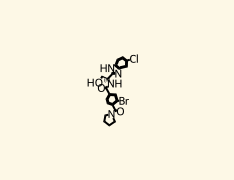 O=C(N[C@@H](CO)c1nc2cc(Cl)ccc2[nH]1)c1ccc(C(=O)N2CCCC2)c(Br)c1